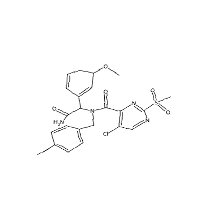 COC1C=C(C(C(N)=O)N(Cc2ccc(C)cc2)C(=O)c2nc(S(C)(=O)=O)ncc2Cl)C=CC1